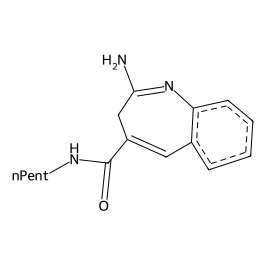 CCCCCNC(=O)C1=Cc2ccccc2N=C(N)C1